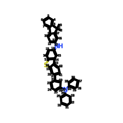 CC1(C)c2ccccc2-c2ccc(Nc3ccc4sc5cc(-c6cccc(N(c7ccccc7)c7ccccc7)c6)ccc5c4c3)cc21